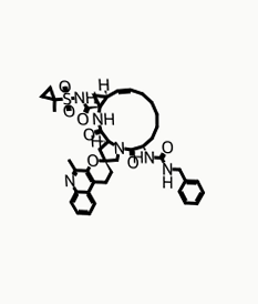 Cc1nc2ccccc2c2c1O[C@]1(CC2)C[C@H]2C(=O)N[C@]3(C(=O)NS(=O)(=O)C4(C)CC4)C[C@H]3/C=C\CCCCC[C@H](NC(=O)NCc3ccccc3)C(=O)N2C1